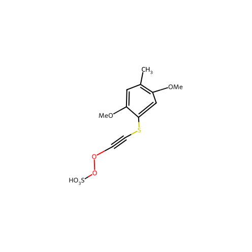 COc1cc(SC#COOS(=O)(=O)O)c(OC)cc1C